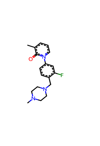 Cc1cccn(-c2ccc(CN3CCN(C)CC3)c(F)c2)c1=O